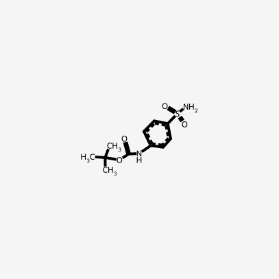 CC(C)(C)OC(=O)Nc1ccc(S(N)(=O)=O)cc1